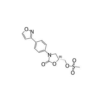 CS(=O)(=O)OC[C@H]1CN(c2ccc(-c3ccon3)cc2)C(=O)O1